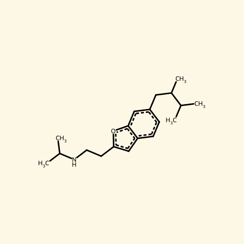 CC(C)NCCc1cc2ccc(CC(C)C(C)C)cc2o1